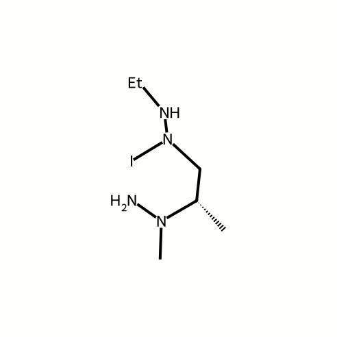 CCNN(I)C[C@H](C)N(C)N